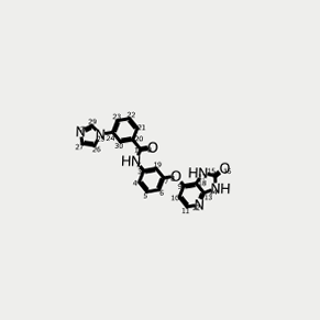 O=C(Nc1cccc(Oc2ccnc3[nH]c(=O)[nH]c23)c1)c1cccc(-n2ccnc2)c1